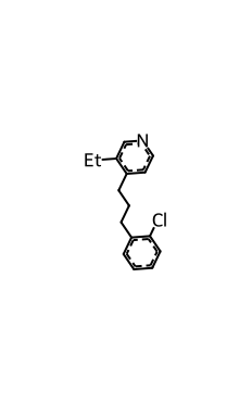 CCc1cnccc1CCCc1ccccc1Cl